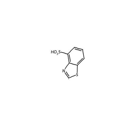 O=S(=O)(O)c1cccc2s[c]nc12